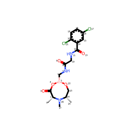 C[C@@H]1C(=O)OB(CNC(=O)CNC(=O)c2cc(Cl)ccc2Cl)OC[C@H](C)N1C